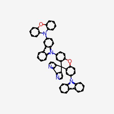 c1ccc2c(c1)Oc1ccccc1N2c1ccc2c(c1)c1ccccc1n2-c1ccc2c(c1)C1(c3cc(-n4c5ccccc5c5ccccc54)ccc3O2)c2cccnc2-c2ncccc21